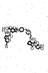 CC(C)(O)c1cc2nn([C@H]3CC[C@H](CN4CCN(CCNc5cccc6c5C(=O)N(C5CCC(=O)NC5=O)C6=O)CC4)CC3)cc2cc1NC(=O)c1ccc2cc(C#N)cnn12